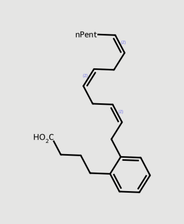 CCCCC/C=C\C/C=C\C/C=C\Cc1ccccc1CCCC(=O)O